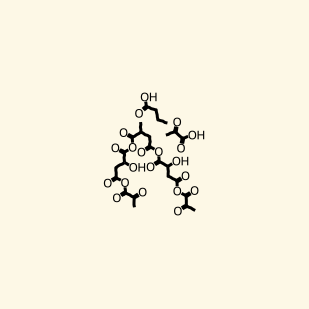 CC(=O)C(=O)O.CC(=O)C(=O)OC(=O)CC(O)C(=O)OC(=O)CC(C)C(=O)OC(=O)C(O)CC(=O)OC(=O)C(C)=O.CCCC(=O)O